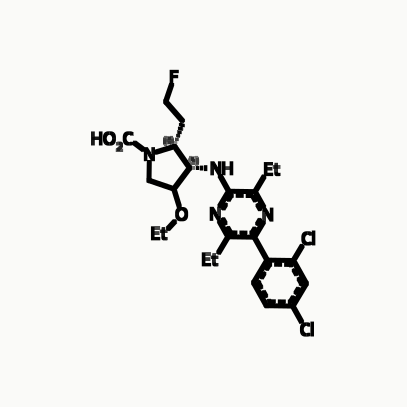 CCOC1CN(C(=O)O)[C@H](CCF)[C@@H]1Nc1nc(CC)c(-c2ccc(Cl)cc2Cl)nc1CC